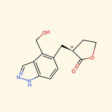 O=C1OCC[C@@H]1Cc1ccc2[nH]ncc2c1CO